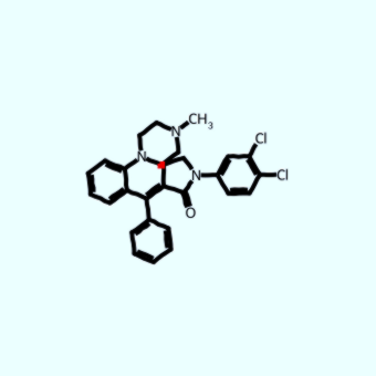 CN1CCN(c2ccccc2C(=C2CCN(c3ccc(Cl)c(Cl)c3)C2=O)c2ccccc2)CC1